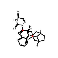 O=c1cnn(-c2nc3ccccc3n([C@@H]3C[C@H]4CC[C@@H](C3)N4[C@@H]3C[C@@H]4CCC[C@@H](C4)C3)c2=O)c(=O)[nH]1